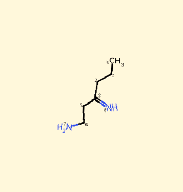 CCCC(=N)CCN